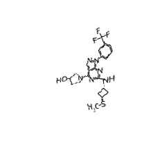 CS[C@H]1C[C@H](Nc2nc(N3CCC(O)C3)c3cnn(-c4cccc(C(F)(F)F)c4)c3n2)C1